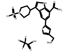 CCS(=O)(=O)N1CCC(c2c[nH]c3c(C(N)=O)cc(-c4cc(CNC)cs4)cc23)CC1.O=C(O)C(F)(F)F